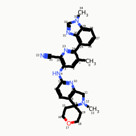 Cc1cc(Nc2ccc3c(n2)CN(C)C32CCOCC2)c(C#N)nc1-c1cccc2c1ncn2C